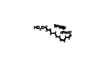 CCCCC/C=C\C/C=C\CCCCCCCC(=O)O.[Br][Mg][Br]